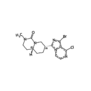 CN1CC[C@H]2CC[C@@H](c3nc(Br)c4c(Cl)nccn34)CN2C1=O